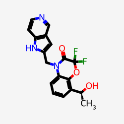 C[C@H](O)c1cccc2c1OC(F)(F)C(=O)N2Cc1cc2cnccc2[nH]1